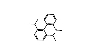 COc1[c]cccc1-c1c(C(C)C)cccc1C(C)C